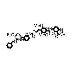 CCOC(=O)C[C@@H](NC(=O)OCc1ccccc1)c1cccc(NC(=O)OCCc2c(OC)cc(C(Nc3ccc4nc[nH]c(=O)c4c3)C(=O)O)cc2OC)c1